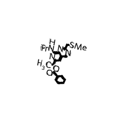 CSCc1ncc2cc(C(C)OC(=O)c3ccccc3)nc(NC(C)C)c2n1